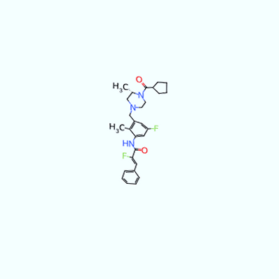 Cc1c(CN2CCN(C(=O)C3CCCC3)[C@@H](C)C2)cc(F)cc1NC(=O)/C(F)=C/c1ccccc1